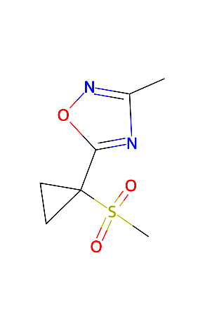 Cc1noc(C2(S(C)(=O)=O)CC2)n1